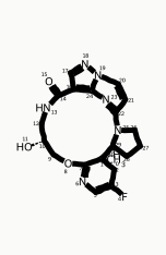 CC12CC(F)=CN=C1OC[C@H](O)CNC(=O)c1cnn3ccc(nc13)N1CCC[C@@H]12